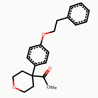 COC(=O)C1(c2ccc(OCCc3ccccc3)cc2)CCOCC1